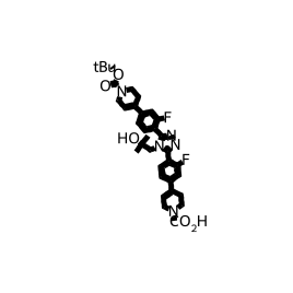 CC(C)(O)Cn1c(-c2ccc(C3=CCN(C(=O)O)CC3)cc2F)nnc1-c1ccc(C2=CCN(C(=O)OC(C)(C)C)CC2)cc1F